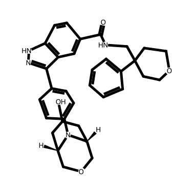 O=C(NCC1(c2ccccc2)CCOCC1)c1ccc2[nH]nc(-c3ccc(N4[C@@H]5COC[C@H]4CC(O)C5)cc3)c2c1